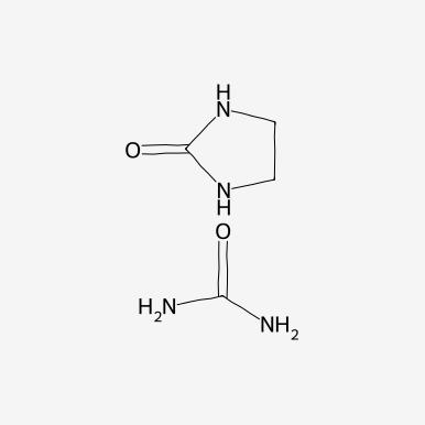 NC(N)=O.O=C1NCCN1